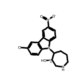 O=[N+]([O-])c1ccc2c(c1)c1cc(Cl)ccc1n2C1CCCNC[C@H]1O